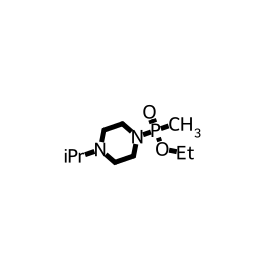 CCOP(C)(=O)N1CCN(C(C)C)CC1